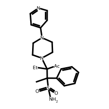 CCC(C(C)=O)(N1CCN(c2ccncc2)CC1)C(C)(c1ccccc1)S(N)(=O)=O